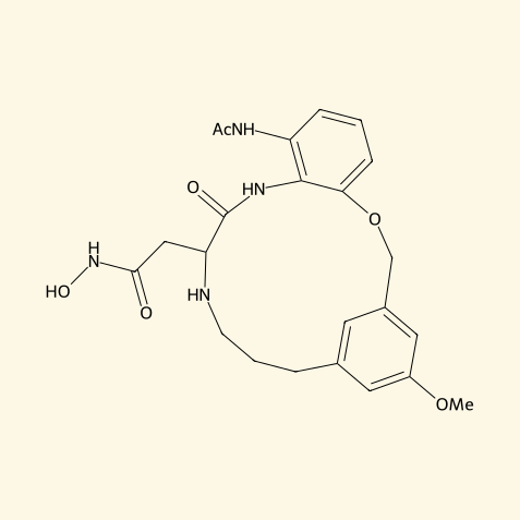 COc1cc2cc(c1)COc1cccc(NC(C)=O)c1NC(=O)C(CC(=O)NO)NCCC2